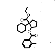 CCOC(=O)C1(C2CCCCC2)CCCC1OC(=O)c1ccccc1C